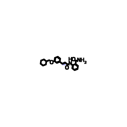 NC(=O)c1ccccc1NC(=O)/C=C/c1cccc(OCC2CCCCC2)c1